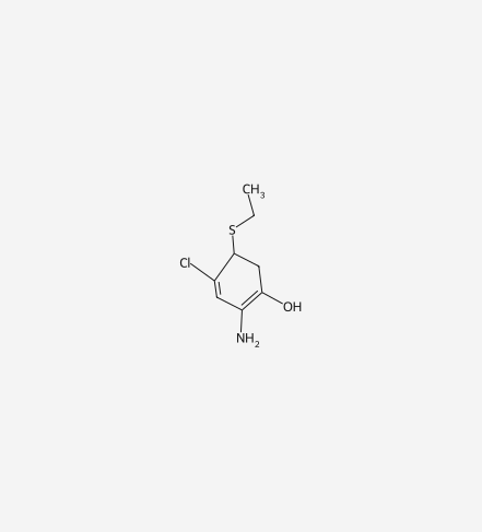 CCSC1CC(O)=C(N)C=C1Cl